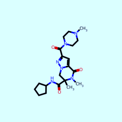 CN1CCN(C(=O)c2cc3n(n2)CC(C)(C(=O)NC2CCCC2)N(C)C3=O)CC1